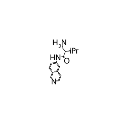 CC(C)[C@H](CN)C(=O)Nc1ccc2cnccc2c1